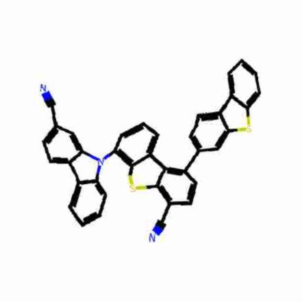 N#Cc1ccc2c3ccccc3n(-c3cccc4c3sc3c(C#N)ccc(-c5ccc6c(c5)sc5ccccc56)c34)c2c1